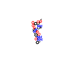 CCOC(=O)CC(NCC(CC1CC1)N1C(=O)N(Cc2ccc(NC(=O)Nc3ccccc3C)c(OC)c2)C(C)(C)C1=O)c1ccc(OC)c(OC)c1